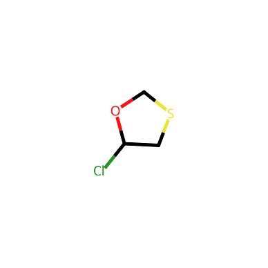 ClC1CSCO1